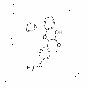 COc1ccc(C(Oc2ccccc2-n2cccc2)C(=O)O)cc1